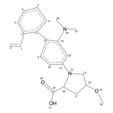 C=Cc1ccccc1-c1ccc(N2CC(OC)CC2C(=O)O)cc1N(C)C